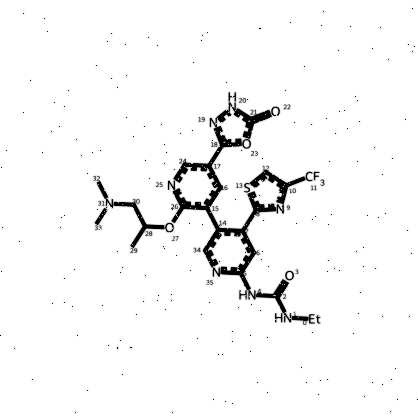 CCNC(=O)Nc1cc(-c2nc(C(F)(F)F)cs2)c(-c2cc(-c3n[nH]c(=O)o3)cnc2OC(C)CN(C)C)cn1